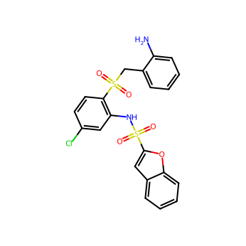 Nc1ccccc1CS(=O)(=O)c1ccc(Cl)cc1NS(=O)(=O)c1cc2ccccc2o1